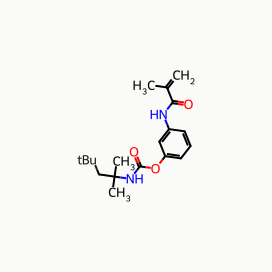 C=C(C)C(=O)Nc1cccc(OC(=O)NC(C)(C)CC(C)(C)C)c1